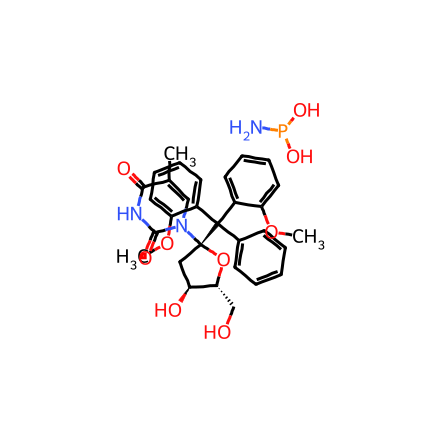 COc1ccccc1C(c1ccccc1)(c1ccccc1OC)[C@]1(n2cc(C)c(=O)[nH]c2=O)C[C@H](O)[C@@H](CO)O1.NP(O)O